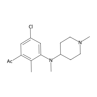 CC(=O)c1cc(Cl)cc(N(C)C2CCN(C)CC2)c1C